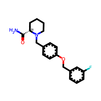 NC(=O)[C@@H]1CCCCN1Cc1ccc(OCc2cccc(F)c2)cc1